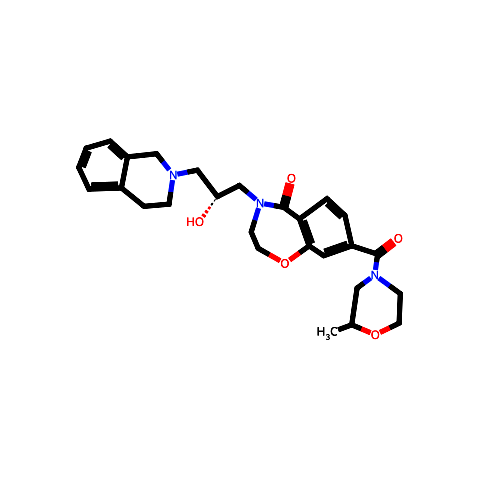 CC1CN(C(=O)c2ccc3c(c2)OCCN(C[C@H](O)CN2CCc4ccccc4C2)C3=O)CCO1